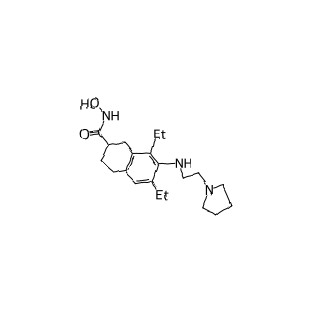 CCc1cc2c(c(CC)c1NCCN1CCCC1)CC(C(=O)NO)CC2